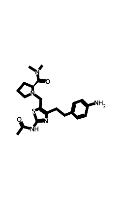 CC(=O)Nc1nc(CCc2ccc(N)cc2)c(CN2CCC[C@H]2C(=O)N(C)C)s1